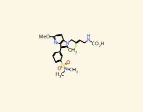 COc1ccc2c(n1)c(-c1cccc(S(=O)(=O)N(C)C)c1)c(C)n2CC(F)=CCNC(=O)O